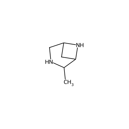 CC1NCC2CC1N2